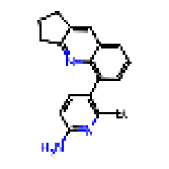 CCc1nc(N)ccc1-c1cccc2cc3c(nc12)CCC3